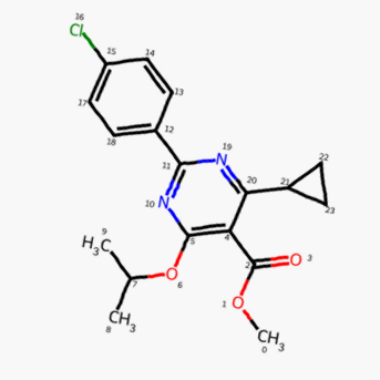 COC(=O)c1c(OC(C)C)nc(-c2ccc(Cl)cc2)nc1C1CC1